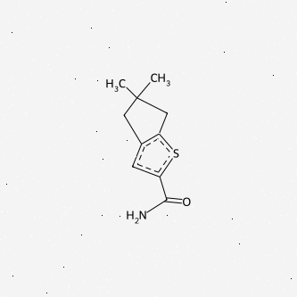 CC1(C)Cc2cc(C(N)=O)sc2C1